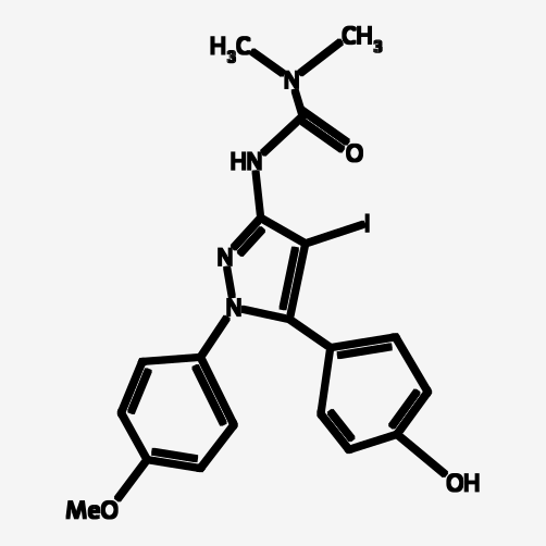 COc1ccc(-n2nc(NC(=O)N(C)C)c(I)c2-c2ccc(O)cc2)cc1